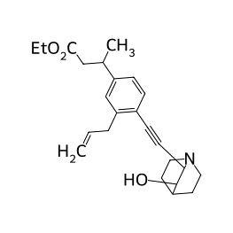 C=CCc1cc(C(C)CC(=O)OCC)ccc1C#CC1C(O)C2CCN1CC2